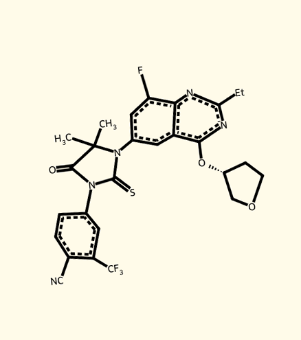 CCc1nc(O[C@@H]2CCOC2)c2cc(N3C(=S)N(c4ccc(C#N)c(C(F)(F)F)c4)C(=O)C3(C)C)cc(F)c2n1